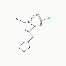 CC(=O)c1cn(CC2CCCC2)c2cc(Cl)ccc12